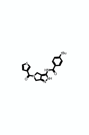 CC(C)(C)c1ccc(C(=O)Nc2[nH]nc3c2CN(C(=O)c2ccsc2)C3)cc1